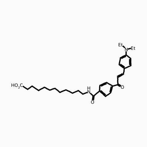 CCN(CC)c1ccc(C=CC(=O)c2ccc(C(=O)NCCCCCCCCCCCC(=O)O)cc2)cc1